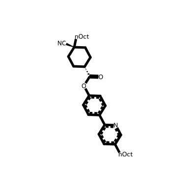 CCCCCCCCc1ccc(-c2ccc(OC(=O)[C@H]3CC[C@@](C#N)(CCCCCCCC)CC3)cc2)nc1